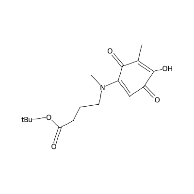 CC1=C(O)C(=O)C=C(N(C)CCCC(=O)OC(C)(C)C)C1=O